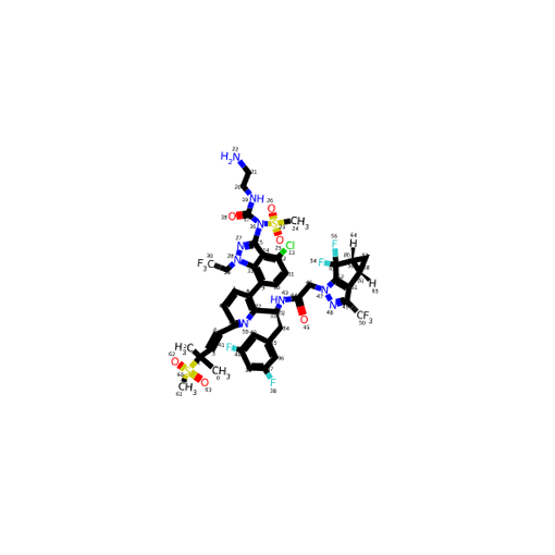 CC(C)(C#Cc1ccc(-c2ccc(Cl)c3c(N(C(=O)NCCN)S(C)(=O)=O)nn(CC(F)(F)F)c23)c([C@H](Cc2cc(F)cc(F)c2)NC(=O)Cn2nc(C(F)(F)F)c3c2C(F)(F)[C@@H]2C[C@H]32)n1)S(C)(=O)=O